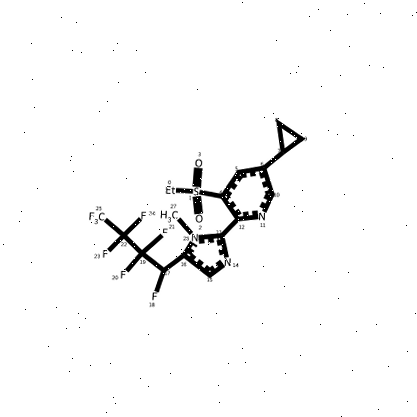 CCS(=O)(=O)c1cc(C2CC2)cnc1-c1ncc(C(F)C(F)(F)C(F)(F)C(F)(F)F)n1C